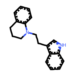 c1ccc2c(c1)CCCN2CCc1c[nH]c2ccccc12